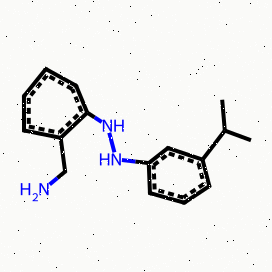 CC(C)c1cccc(NNc2ccccc2CN)c1